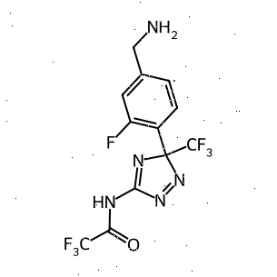 NCc1[c]cc(C2(C(F)(F)F)N=NC(NC(=O)C(F)(F)F)=N2)c(F)c1